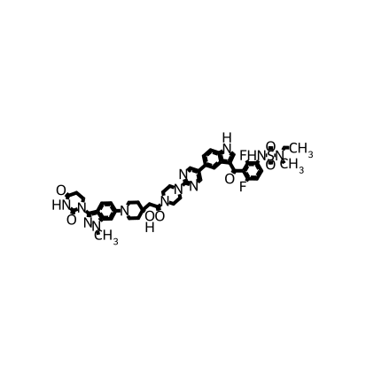 CCN(C)S(=O)(=O)Nc1ccc(F)c(C(=O)c2c[nH]c3ccc(-c4cnc(N5CCN(C(=O)CC6(O)CCN(c7ccc8c(N9CCC(=O)NC9=O)nn(C)c8c7)CC6)CC5)nc4)cc23)c1F